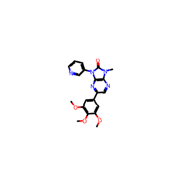 COc1cc(-c2cnc3c(n2)n(-c2cccnc2)c(=O)n3C)cc(OC)c1OC